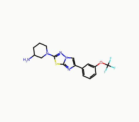 NC1CCCN(c2nn3cc(-c4cccc(OC(F)(F)F)c4)nc3s2)C1